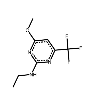 CCNc1nc(OC)cc(C(F)(F)F)n1